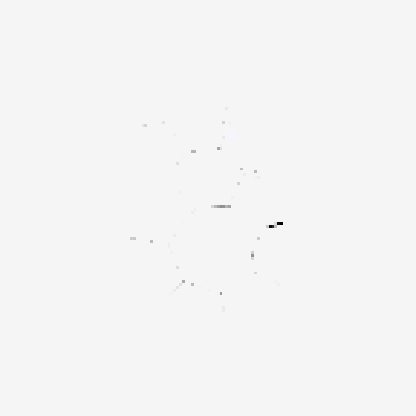 C/C=C1/C(=O)C2=C(CC1OC)C(Cl)C(C)C(Cl)C(Cl)[C@@H]2Cl